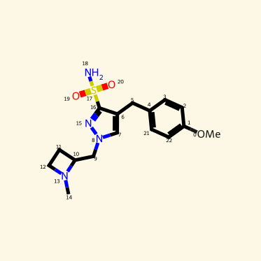 COc1ccc(Cc2cn(CC3CCN3C)nc2S(N)(=O)=O)cc1